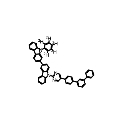 [2H]c1c([2H])c([2H])c(-n2c3ccccc3c3ccc(-c4ccc5c(c4)c4ccccc4n5-c4ncc(-c5ccc(-c6cccc(-c7ccccc7)c6)cc5)cn4)cc32)c([2H])c1[2H]